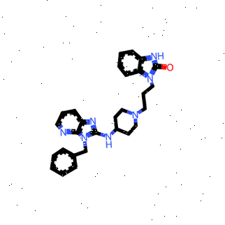 O=c1[nH]c2ccccc2n1CCCN1CCC(Nc2nc3cccnc3n2Cc2ccccc2)CC1